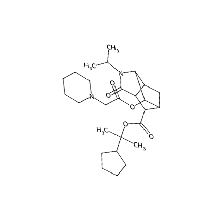 CC(C)N1C(=O)C2C3CC(C(OC(=O)CN4CCCCC4)C31)C2C(=O)OC(C)(C)C1CCCC1